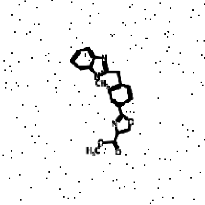 COC(=O)C1COC(c2ccc(Cc3nc4ccccc4n3C)cc2)=N1